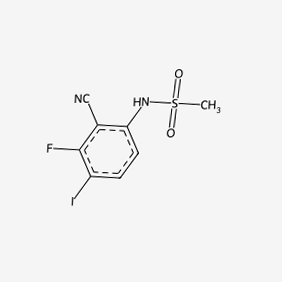 CS(=O)(=O)Nc1ccc(I)c(F)c1C#N